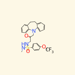 CN=S(=O)(NCC(=O)CN1c2ccccc2CCc2ccccc21)c1ccc(OC(F)(F)F)cc1